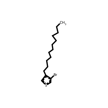 CCCCCCCCCCCCc1cscc1Br